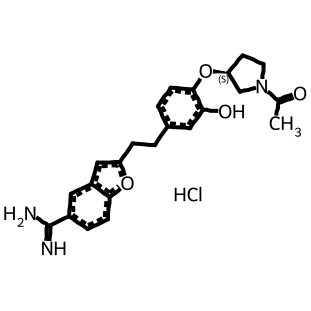 CC(=O)N1CC[C@H](Oc2ccc(CCc3cc4cc(C(=N)N)ccc4o3)cc2O)C1.Cl